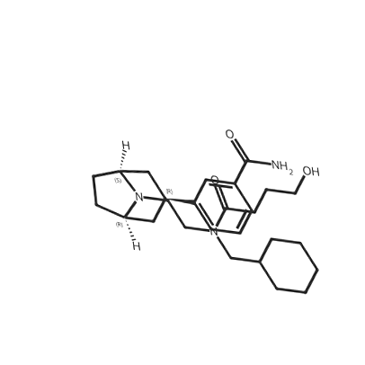 NC(=O)c1cccc([C@H]2C[C@H]3CC[C@@H](C2)N3CCN(CC2CCCCC2)C(=O)CCCO)c1